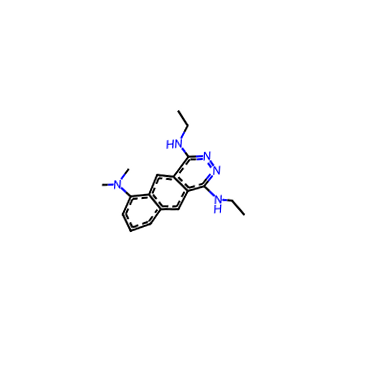 CCNc1nnc(NCC)c2cc3c(N(C)C)cccc3cc12